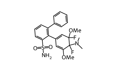 COC1=CC(c2c(-c3ccccc3)cccc2S(N)(=O)=O)=CC(F)(OC)C1(F)N(C)C